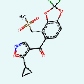 CS(=O)(=O)Cc1c(C(=O)c2cnoc2C2CC2)ccc2c1OC(F)(F)O2